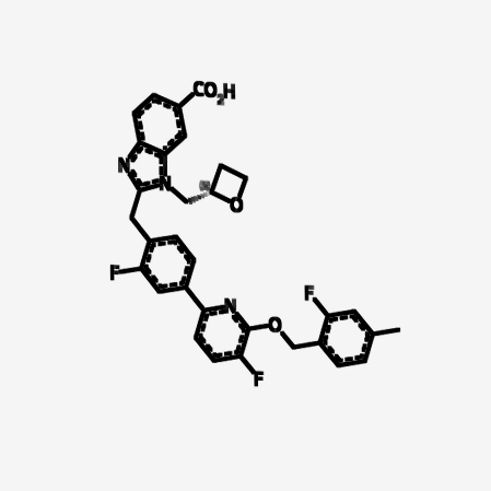 Cc1ccc(COc2nc(-c3ccc(Cc4nc5ccc(C(=O)O)cc5n4C[C@@H]4CCO4)c(F)c3)ccc2F)c(F)c1